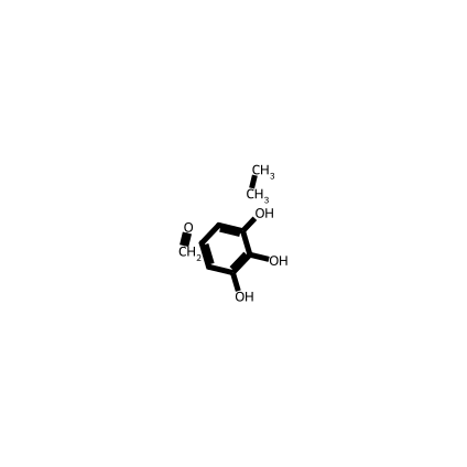 C=O.CC.Oc1cccc(O)c1O